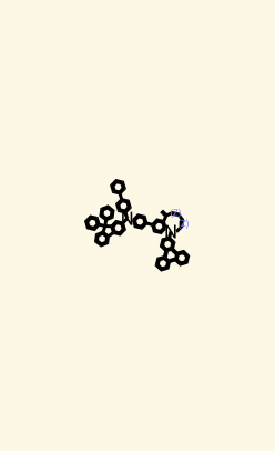 C=C1/C=C\C=C/CN(c2ccc3c4ccccc4c4ccccc4c3c2)c2ccc(-c3ccc(N(c4ccc(-c5ccccc5)cc4)c4ccc5c(c4)C(c4ccccc4)(c4ccccc4)c4ccccc4-5)cc3)cc21